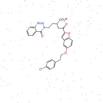 O=C(CC(CCn1nnc2ccccc2c1=O)C(=O)O)c1cc2cc(OCCc3ccc(Cl)cc3)ccc2o1